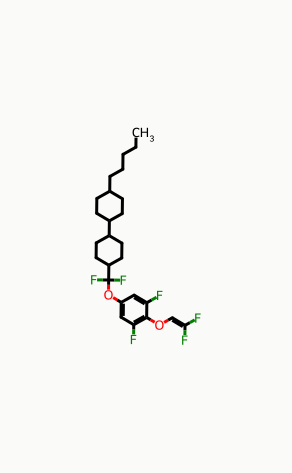 CCCCCC1CCC(C2CCC(C(F)(F)Oc3cc(F)c(OC=C(F)F)c(F)c3)CC2)CC1